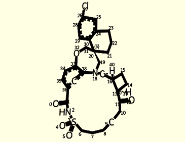 O=C1NS(=O)(=O)CCCCCC(=O)[C@@H]2CC[C@H]2CN2C[C@@]3(CCCc4cc(Cl)ccc43)COc3ccc1cc32